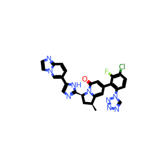 C[C@H]1C[C@@H](c2ncc(-c3ccc4nccn4c3)[nH]2)n2c1cc(-c1c(-n3cnnn3)ccc(Cl)c1F)cc2=O